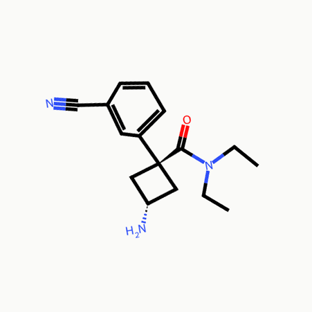 CCN(CC)C(=O)[C@]1(c2cccc(C#N)c2)C[C@@H](N)C1